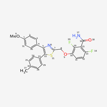 COc1ccc(-c2nc(COc3ccc(F)c(C(N)=O)c3F)sc2-c2ccc(C)cc2)cc1